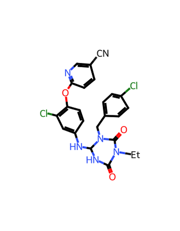 CCN1C(=O)NC(Nc2ccc(Oc3ccc(C#N)cn3)c(Cl)c2)N(Cc2ccc(Cl)cc2)C1=O